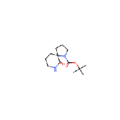 CC(C)(C)OC(=O)N1CCCC12CCCNC2=O